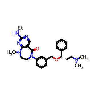 CCNc1ncc2c(n1)N(C)CCN(c1cccc(CO[C@@H](CCN(C)C)c3ccccc3)c1)C2=O